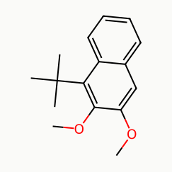 COc1cc2ccccc2c(C(C)(C)C)c1OC